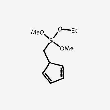 CCO[Si](CC1C=CC=C1)(OC)OC